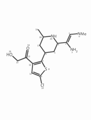 CN/C=C(\N)C1CC(c2sc(Cl)cc2C(=O)CO)CC(C)N1